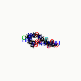 CC(C)n1c(=O)c(OCC(N)=O)cc2cc(Nc3nc(N4CCC(OC5CN([C@H]6CC[C@@H](c7ccc8c(c7F)CN(C7CCC(=O)NC7=O)C8=O)CC6)C5)CC4)ncc3Cl)ccc21